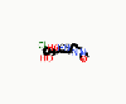 CC(C)(CC(O)(Cc1cc2nc(CN3CCOCC3)ccc2[nH]1)C(F)(F)F)c1cc(Cl)ccc1O